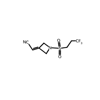 N#CC=C1CN(S(=O)(=O)CCC(F)(F)F)C1